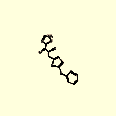 O=C(Cc1ccc(Sc2ccccc2)s1)C(=O)c1nc[nH]n1